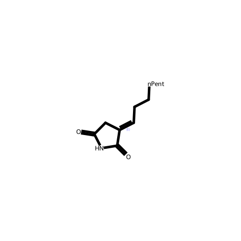 CCCCCCC/C=C1\CC(=O)NC1=O